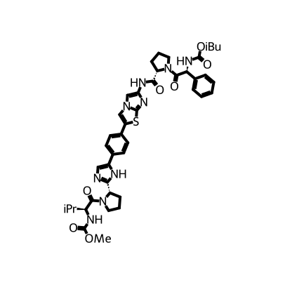 COC(=O)N[C@H](C(=O)N1CCC[C@H]1c1ncc(-c2ccc(-c3cn4cc(NC(=O)[C@@H]5CCCN5C(=O)[C@H](NC(=O)OCC(C)C)c5ccccc5)nc4s3)cc2)[nH]1)C(C)C